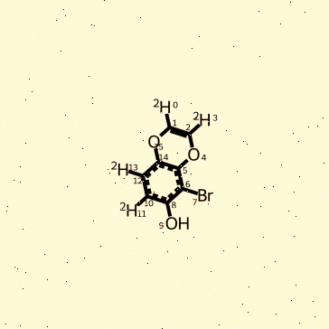 [2H]C1=C([2H])Oc2c(Br)c(O)c([2H])c([2H])c2O1